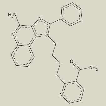 NC(=O)c1cccnc1CCCCn1c(-c2ccccc2)nc2c(N)nc3ccccc3c21